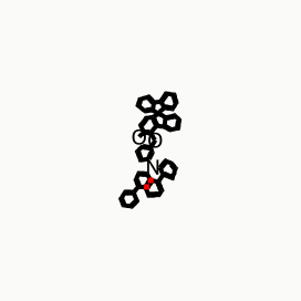 c1ccc(-c2ccc(N(c3ccc4c(c3)Oc3c(ccc5c3-c3ccccc3C53c5ccccc5-c5ccccc53)O4)c3ccccc3-c3ccccc3)cc2)cc1